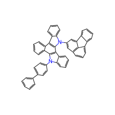 c1ccc(-c2ccc(-n3c4ccccc4c4c3c3ccccc3c3c5ccccc5n(-c5cc6c7c(cccc7c5)-c5ccccc5-6)c34)cc2)cc1